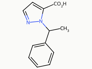 CC(c1ccccc1)n1nccc1C(=O)O